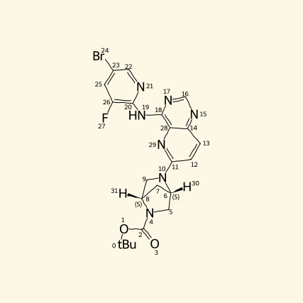 CC(C)(C)OC(=O)N1C[C@@H]2C[C@H]1CN2c1ccc2ncnc(Nc3ncc(Br)cc3F)c2n1